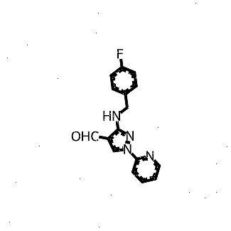 O=Cc1cn(-c2ccccn2)nc1NCc1ccc(F)cc1